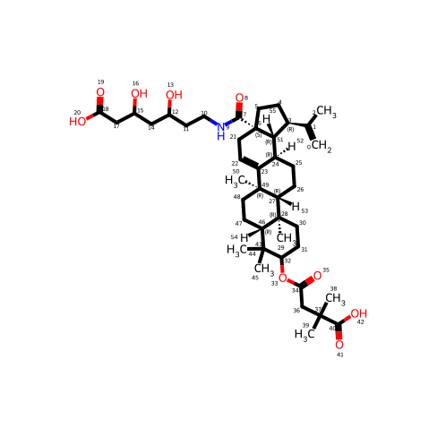 C=C(C)[C@@H]1CC[C@]2(C(=O)NCCC(O)CC(O)CC(=O)O)CC=C3[C@H](CC[C@@H]4[C@@]5(C)CCC(OC(=O)CC(C)(C)C(=O)O)C(C)(C)[C@@H]5CC[C@@]34C)[C@@H]12